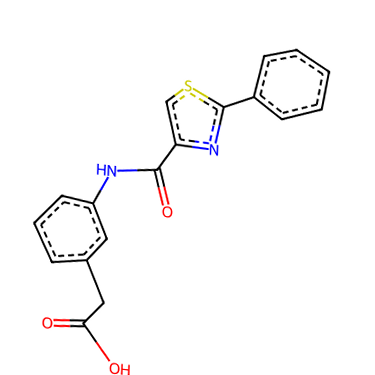 O=C(O)Cc1cccc(NC(=O)c2csc(-c3ccccc3)n2)c1